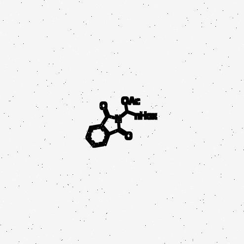 CCCCCCC(OC(C)=O)N1C(=O)c2ccccc2C1=O